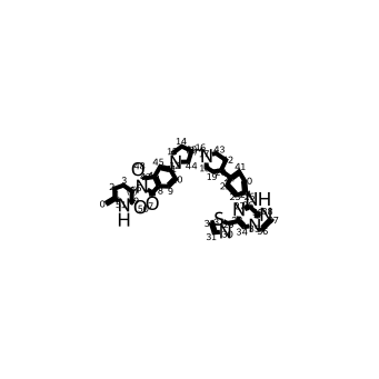 C=C1CC[C@H](N2C(=O)c3ccc(N4CC[C@H](CN5CCC(c6ccc(Nc7nc(-c8nccs8)cn8ccnc78)cc6)CC5)C4)cc3C2=O)C(=O)N1